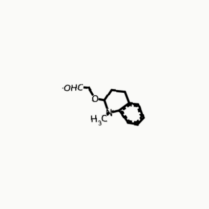 CN1c2ccccc2CCC1OC[C]=O